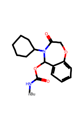 CCCCNC(=O)OC1c2ccccc2OCC(=O)N1C1CCCCC1